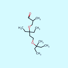 CCC(C)(CC)OCCC(CC)(CC)OCC(C)C=O